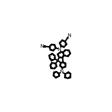 N#Cc1ccc(N(c2ccc(C#N)cc2)c2cc3c(c4ccccc24)-c2ccc(N(c4ccccc4)c4ccccc4)cc2C3(c2ccccc2)c2ccccc2)cc1